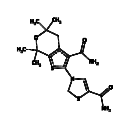 CC1(C)Cc2c(sc(N3C=C(C(N)=O)SC3)c2C(N)=O)C(C)(C)O1